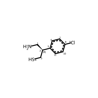 NC[C@H](CS)c1ccc(Cl)cc1